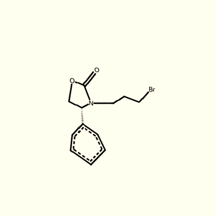 O=C1OC[C@@H](c2ccccc2)N1CCCBr